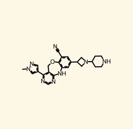 Cn1cc(-c2ncnc3c2COc2c(C#N)cc(C4CN(C5CCNCC5)C4)cc2N3)cn1